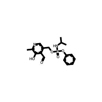 Cc1ncc(COP(=O)(NC(C)C)Oc2ccccc2)c(C=O)c1O